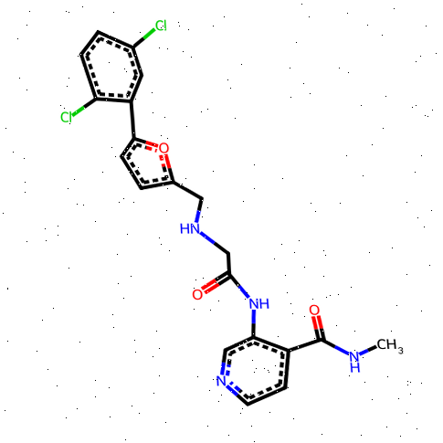 CNC(=O)c1ccncc1NC(=O)CNCc1ccc(-c2cc(Cl)ccc2Cl)o1